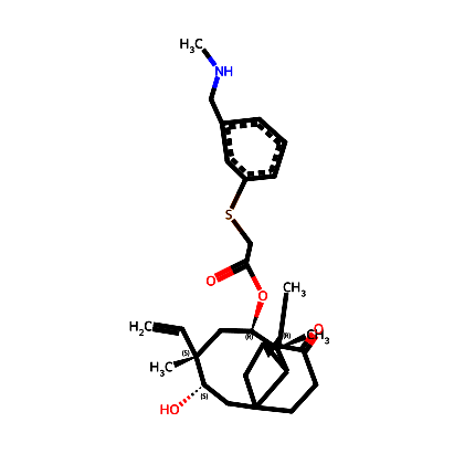 C=C[C@]1(C)C[C@@H](OC(=O)CSc2cccc(CNC)c2)[C@]2(C)C(C)CC34CC(CCC3=O)(C[C@@H]1O)C42